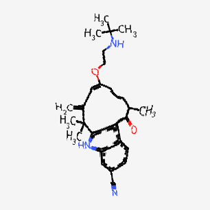 C=C1/C=C(OCCNC(C)(C)C)\C=C/C(C)C(=O)c2c([nH]c3cc(C#N)ccc23)C1(C)C